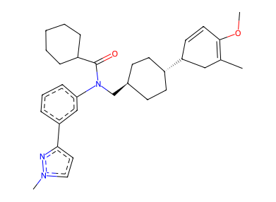 COC1=C(C)CC([C@H]2CC[C@H](CN(C(=O)C3CCCCC3)c3cccc(-c4ccn(C)n4)c3)CC2)C=C1